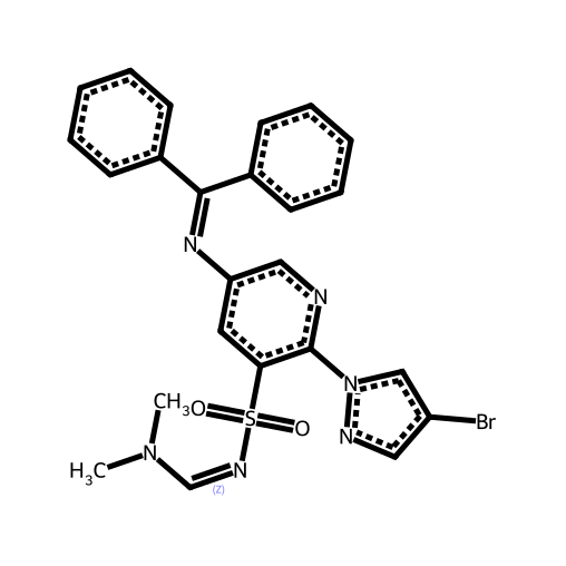 CN(C)/C=N\S(=O)(=O)c1cc(N=C(c2ccccc2)c2ccccc2)cnc1-n1cc(Br)cn1